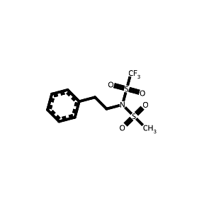 CS(=O)(=O)N(CCc1ccccc1)S(=O)(=O)C(F)(F)F